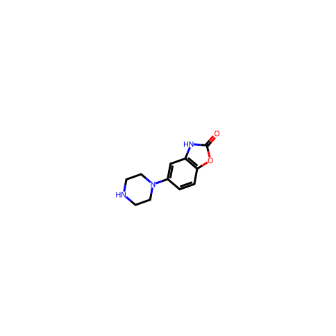 O=c1[nH]c2cc(N3CCNCC3)ccc2o1